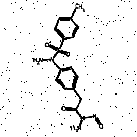 Cc1ccc(S(=O)(=O)N(N)c2ccc(CC(=O)N(N)N=O)cc2)cc1